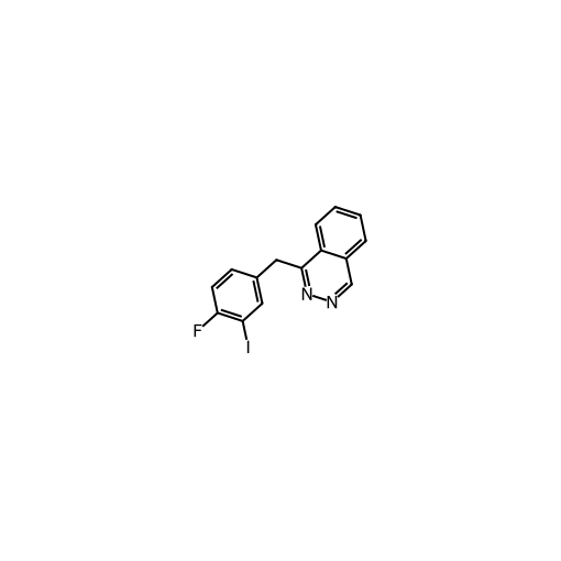 Fc1ccc(Cc2nncc3ccccc23)cc1I